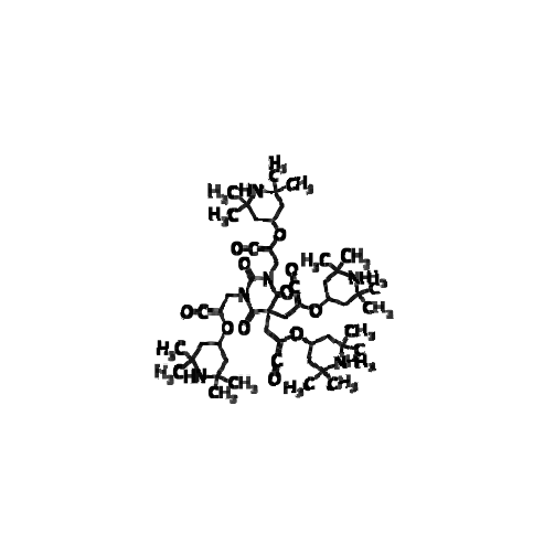 CC1(C)CC(OC(=C=O)CN2C(=O)N(CC(=C=O)OC3CC(C)(C)NC(C)(C)C3)C(=O)C(CC(=C=O)OC3CC(C)(C)NC(C)(C)C3)(CC(=C=O)OC3CC(C)(C)NC(C)(C)C3)C2=O)CC(C)(C)N1